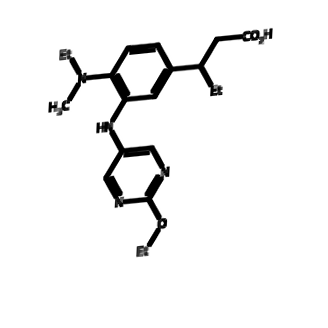 CCOc1ncc(Nc2cc(C(CC)CC(=O)O)ccc2N(C)CC)cn1